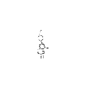 CCCC1CCC(c2cc(F)c3c(c2)CCC(Cl)O3)CC1